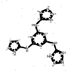 n1n[nH]c(Nc2nc(Nc3nnn[nH]3)nc(Nc3nnn[nH]3)n2)n1